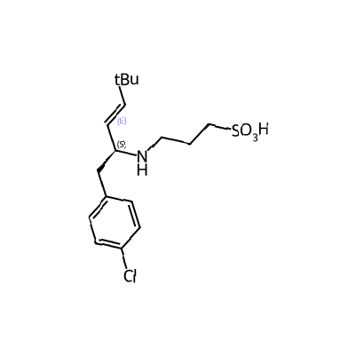 CC(C)(C)/C=C/[C@H](Cc1ccc(Cl)cc1)NCCCS(=O)(=O)O